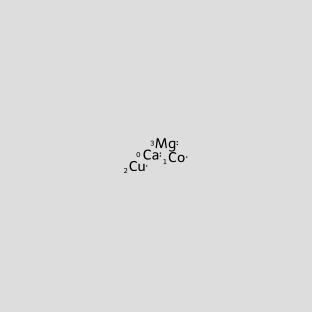 [Ca].[Co].[Cu].[Mg]